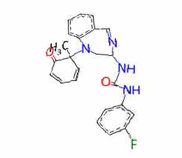 CC1(N2CC(NC(=O)Nc3cccc(F)c3)N=Cc3ccccc32)C=CC=CC1=O